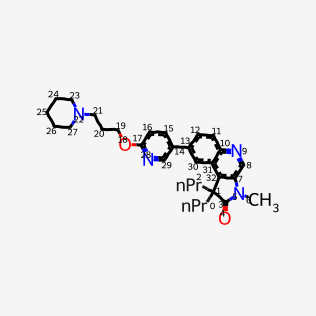 CCCC1(CCC)C(=O)N(C)c2cnc3ccc(-c4ccc(OCCCN5CCCCC5)nc4)cc3c21